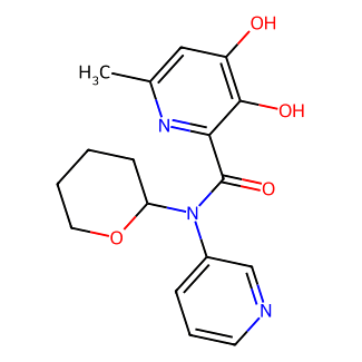 Cc1cc(O)c(O)c(C(=O)N(c2cccnc2)C2CCCCO2)n1